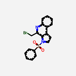 O=S(=O)(c1ccccc1)n1ccc2c3ccccc3nc(CBr)c21